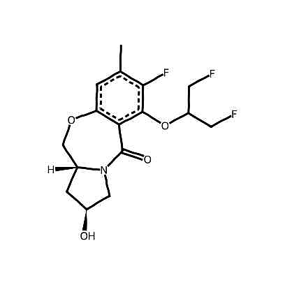 Cc1cc2c(c(OC(CF)CF)c1F)C(=O)N1C[C@@H](O)C[C@@H]1CO2